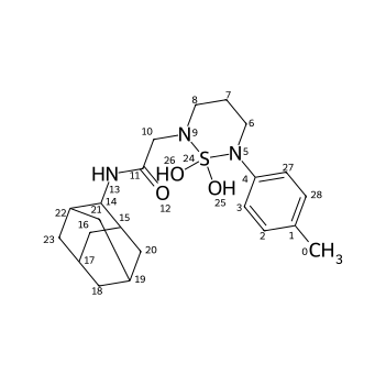 Cc1ccc(N2CCCN(CC(=O)NC3C4CC5CC(C4)CC3C5)S2(O)O)cc1